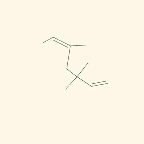 [CH2]C=C(C)CC(C)(C)C=C